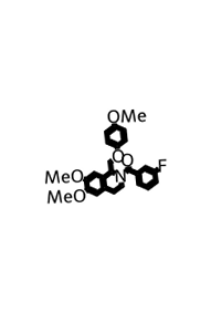 COc1ccc(OCC2c3cc(OC)c(OC)cc3CCN2C(=O)c2cccc(F)c2)cc1